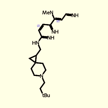 CN/C(=C\C=N)C(=N)/C=C\C(=N)NCC1CC12CCN(CCC(C)(C)C)CC2